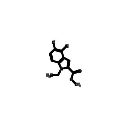 CCn1c(C(=O)OC)cc2c(Cl)c(Cl)ccc21